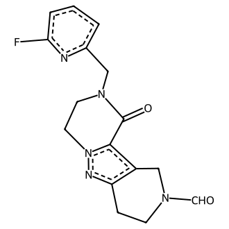 O=CN1CCc2nn3c(c2C1)C(=O)N(Cc1cccc(F)n1)CC3